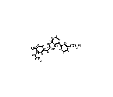 CCOC(=O)c1cccc(-c2cccc3cc(Cc4ccc(=O)n(CC(F)(F)F)c4)sc23)c1